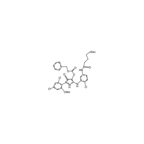 CCCCCCCCCCCCCC(=O)Nc1ccc(Cl)c(Nc2[nH]n(-c3c(Cl)cc(Cl)cc3OC)c(=O)c2OC(=O)OCc2ccccc2)c1